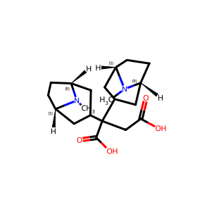 CN1[C@@H]2CC[C@H]1CC(C(CC(=O)O)(C(=O)O)C1C[C@H]3CC[C@@H](C1)N3C)C2